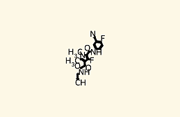 C#CCNC(=O)C(=O)c1c(F)c(C(=O)Nc2ccc(F)c(C#N)c2)n(C)c1C